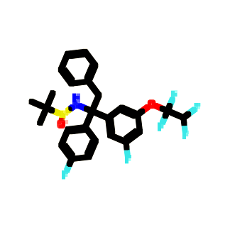 CC(C)(C)[S+]([O-])NC(Cc1ccccc1)(c1ccc(F)cc1)c1cc(F)cc(OC(F)(F)C(F)F)c1